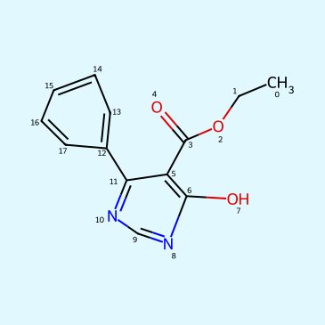 CCOC(=O)c1c(O)ncnc1-c1ccccc1